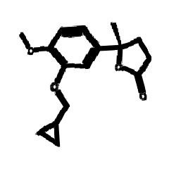 COc1ccc([C@]2(C)CCC(=O)O2)cc1OCC1CC1